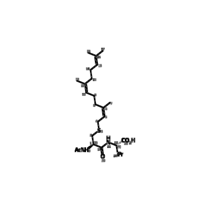 CC(=O)N[C@@H](CSCC=C(C)CCC=C(C)CCC=C(C)C)C(=O)N[C@H](C(=O)O)C(C)C